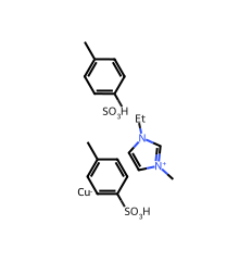 CCn1cc[n+](C)c1.Cc1ccc(S(=O)(=O)O)cc1.Cc1ccc(S(=O)(=O)O)cc1.[Cu]